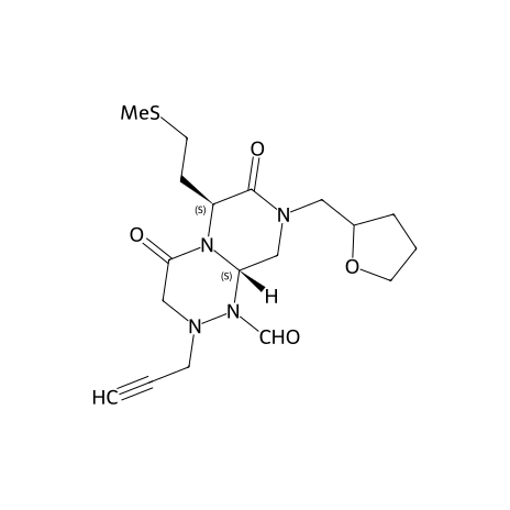 C#CCN1CC(=O)N2[C@@H](CCSC)C(=O)N(CC3CCCO3)C[C@@H]2N1C=O